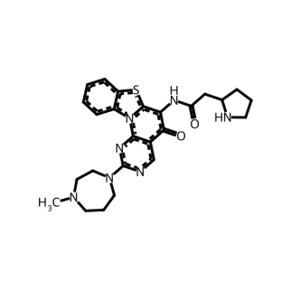 CN1CCCN(c2ncc3c(=O)c(NC(=O)CC4CCCN4)c4sc5ccccc5n4c3n2)CC1